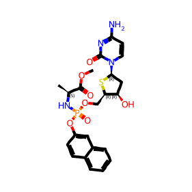 COC(=O)[C@H](C)NP(=O)(OC[C@H]1S[C@@H](n2ccc(N)nc2=O)C[C@H]1O)Oc1ccc2ccccc2c1